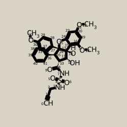 C#CCNS(=O)(=O)NC(=O)[C@H]1[C@@H](O)[C@@]2(O)c3c(OC)cc(OC)cc3O[C@@]2(c2ccc(OC)cc2)[C@@H]1c1ccccc1